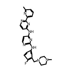 Cc1cccc(-c2nccc(Nc3ccnc(Nc4ccc(F)c(CN5CCN(C)CC5)c4)n3)n2)n1